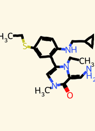 CCSc1ccc(NCC2CC2)c(C2=CN(C)C(=O)/C(=C/N)N2CC)c1